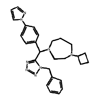 c1ccc(Cn2nnnc2C(c2ccc(-n3cccn3)cc2)N2CCCN(C3CCC3)CC2)cc1